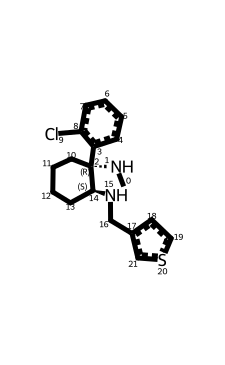 CN[C@@]1(c2ccccc2Cl)CCCC[C@@H]1NCc1ccsc1